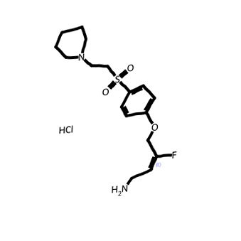 Cl.NC/C=C(/F)COc1ccc(S(=O)(=O)CCN2CCCCC2)cc1